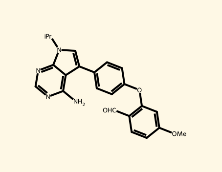 COc1ccc(C=O)c(Oc2ccc(-c3cn(C(C)C)c4ncnc(N)c34)cc2)c1